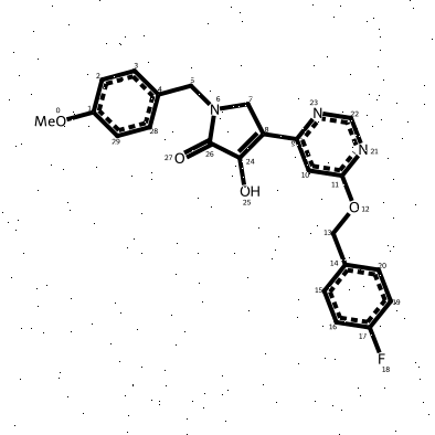 COc1ccc(CN2CC(c3cc(OCc4ccc(F)cc4)ncn3)=C(O)C2=O)cc1